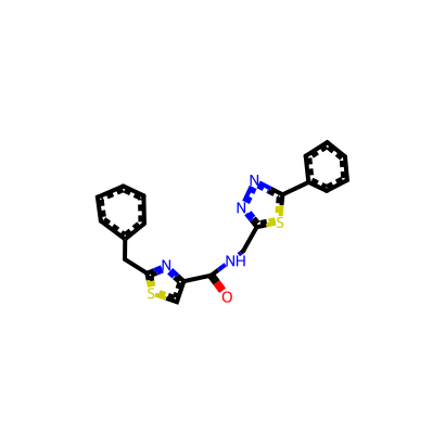 O=C(NCc1nnc(-c2ccccc2)s1)c1csc(Cc2ccccc2)n1